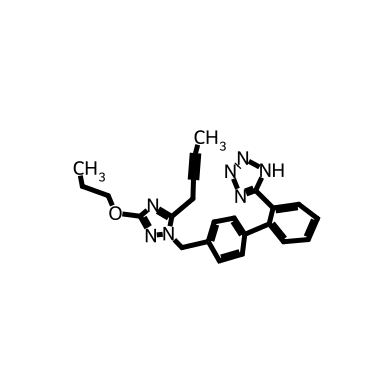 CC#CCc1nc(OCCC)nn1Cc1ccc(-c2ccccc2-c2nnn[nH]2)cc1